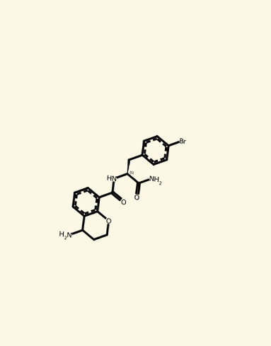 NC(=O)[C@H](Cc1ccc(Br)cc1)NC(=O)c1cccc2c1OCCC2N